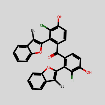 CCc1c(-c2c(C(=O)c3ccc(O)c(Cl)c3-c3oc4ccccc4c3CC)ccc(O)c2Cl)oc2ccccc12